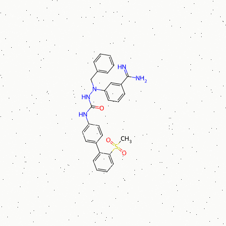 CS(=O)(=O)c1ccccc1-c1ccc(NC(=O)NN(Cc2ccccc2)c2cccc(C(=N)N)c2)cc1